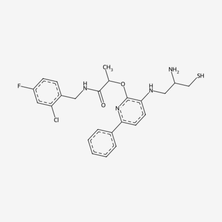 CC(Oc1nc(-c2ccccc2)ccc1NCC(N)CS)C(=O)NCc1ccc(F)cc1Cl